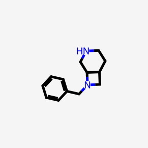 c1ccc(CN2CC3CCNCC32)cc1